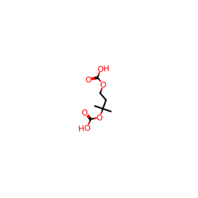 CC(C)(CCOC(=O)O)OC(=O)O